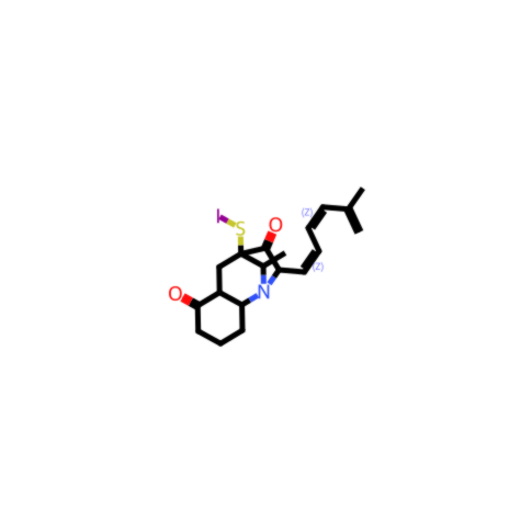 C=C(C)/C=C\C=C/C1C(=O)C2(SI)CC3C(=O)CCCC3N1C2C